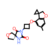 Cc1cc2c(c(OC3CC(N4C(=O)N[C@]5(CCOC5)C4=O)C3)c1)C1(CC1)CO2